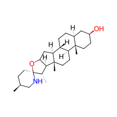 C[C@H]1CC[C@]2(NC1)OC1C[C@H]3[C@@H]4CC[C@H]5C[C@@H](O)CC[C@]5(C)[C@H]4CC[C@]3(C)[C@H]1[C@@H]2C